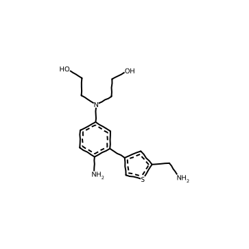 NCc1cc(-c2cc(N(CCO)CCO)ccc2N)cs1